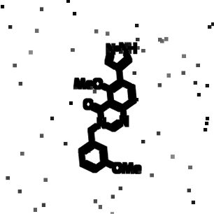 COc1cccc(Cn2cnc3ccc(-c4cn[nH]c4)c(OC)c3c2=O)c1